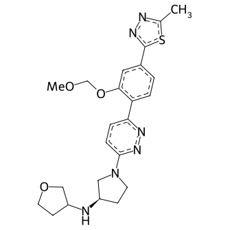 COCOc1cc(-c2nnc(C)s2)ccc1-c1ccc(N2CC[C@@H](NC3CCOC3)C2)nn1